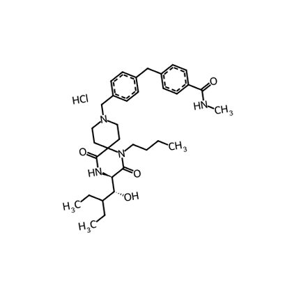 CCCCN1C(=O)[C@@H]([C@H](O)C(CC)CC)NC(=O)C12CCN(Cc1ccc(Cc3ccc(C(=O)NC)cc3)cc1)CC2.Cl